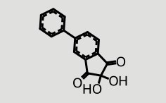 O=C1c2ccc(-c3ccccc3)cc2C(=O)C1(O)O